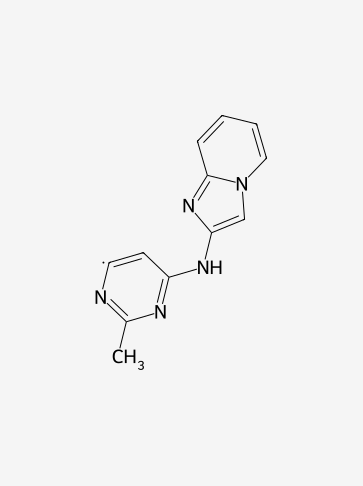 Cc1n[c]cc(Nc2cn3ccccc3n2)n1